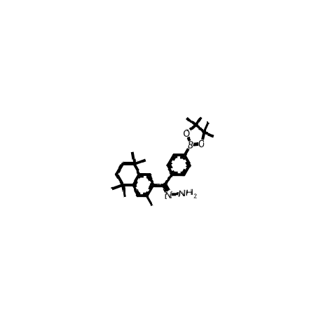 Cc1cc2c(cc1C(=NN)c1ccc(B3OC(C)(C)C(C)(C)O3)cc1)C(C)(C)CCC2(C)C